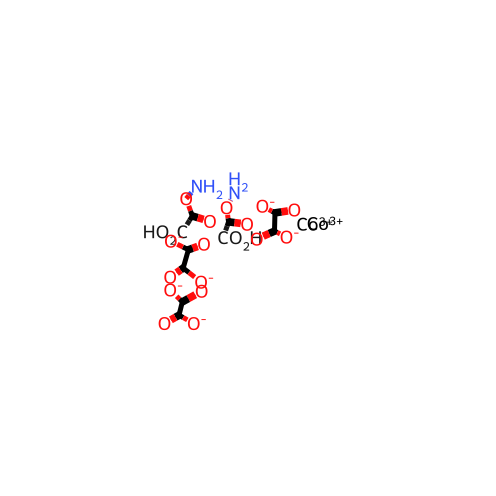 NOC(=O)C(=O)O.NOC(=O)C(=O)O.O=C([O-])C(=O)[O-].O=C([O-])C(=O)[O-].O=C([O-])C(=O)[O-].[Co+3].[Co+3]